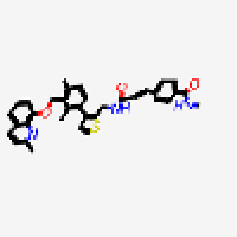 CNC(=O)c1ccc(C=CC(=O)NCc2sccc2-c2ccc(C)c(COc3cccc4ccc(C)nc34)c2C)cc1